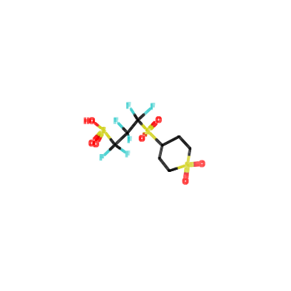 O=S1(=O)CCC(S(=O)(=O)C(F)(F)C(F)(F)C(F)(F)S(=O)(=O)O)CC1